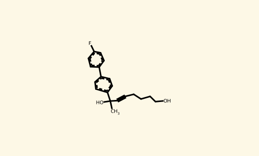 CC(O)(C#CCCCCO)c1ccc(-c2ccc(F)cc2)cc1